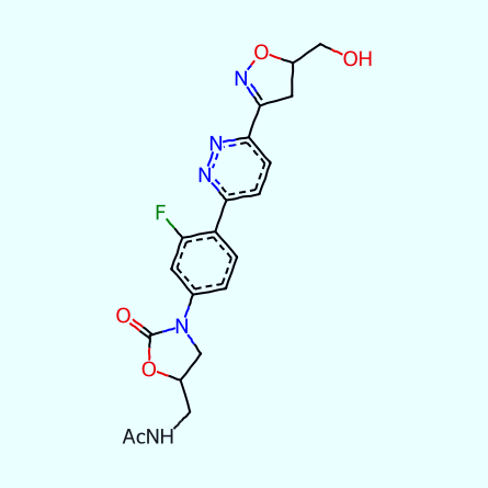 CC(=O)NCC1CN(c2ccc(-c3ccc(C4=NOC(CO)C4)nn3)c(F)c2)C(=O)O1